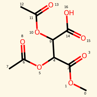 COC(=O)C(OC(C)=O)C(OC(C)=O)C(=O)O